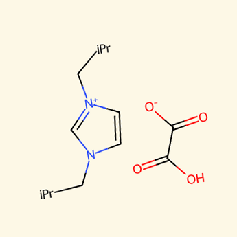 CC(C)Cn1cc[n+](CC(C)C)c1.O=C([O-])C(=O)O